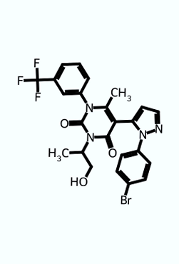 Cc1c(-c2ccnn2-c2ccc(Br)cc2)c(=O)n(C(C)CO)c(=O)n1-c1cccc(C(F)(F)F)c1